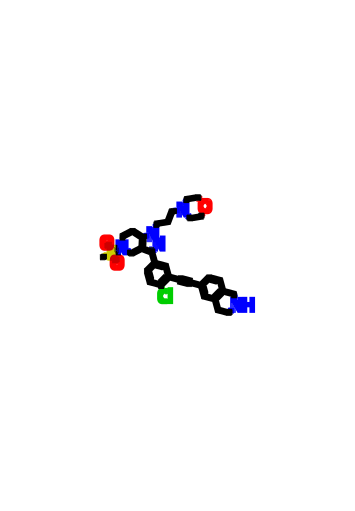 CS(=O)(=O)N1CCc2c(c(-c3ccc(Cl)c(C#Cc4ccc5c(c4)CCNC5)c3)nn2CCCN2CCOCC2)C1